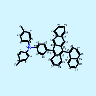 Cc1ccc(N(c2ccc(C)cc2)c2ccc(-c3c4ccccc4c(-c4cccc5ccccc45)c4cc5ccccc5cc34)cc2)cc1